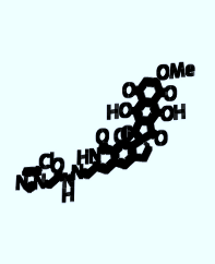 COC1=CC(=O)c2c(O)c3c(c(O)c2C1=O)C(=O)[C@]1(CCc2cc4cc(C=NNC(=O)Cn5cncc5Cl)[nH]c(=O)c4c(O)c21)C3=O